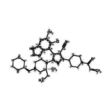 C=CC(=O)N1CCC(n2nc(N3CCN(C[C@@H]4COCCO4)C[C@]3(C)CC)c(-c3c(Cl)c(C)cc4[nH]ncc34)c2C#N)CC1